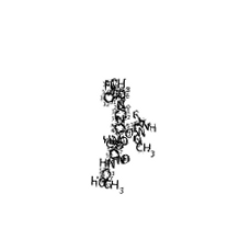 CCOc1nc2[nH]cc(F)c2cc1Oc1cc(N2CCC3(CC2)CN([C@@H]2CCC[C@@H]2c2ccccc2C(C)(F)F)C3)ccc1C(=O)NS(=O)(=O)c1ccc(NC[C@H]2CC[C@](C)(O)CC2)c(N=O)c1